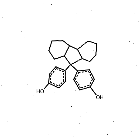 Oc1ccc(C2(c3ccc(O)cc3)C3CCCCC3C3CCCCC32)cc1